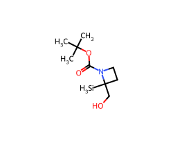 CC(C)(C)OC(=O)N1CCC1([SiH3])CO